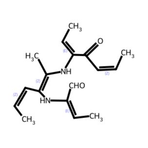 C/C=C\C(=O)/C(=C\C)N/C(C)=C(/C=C\C)N/C(C=O)=C/C